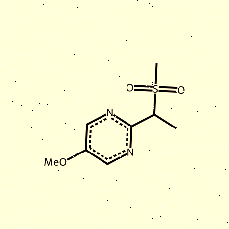 COc1cnc(C(C)S(C)(=O)=O)nc1